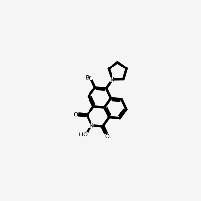 O=C1c2cccc3c(N4CCCC4)c(Br)cc(c23)C(=O)N1O